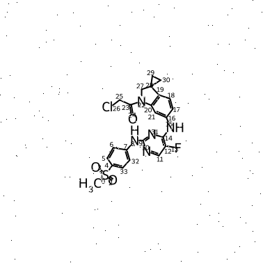 CS(=O)(=O)c1ccc(Nc2ncc(F)c(Nc3ccc4c(c3)N(C(=O)CCl)CC43CC3)n2)cc1